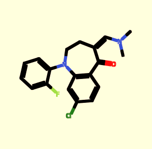 CN(C)C=C1CCN(c2ccccc2F)c2cc(Cl)ccc2C1=O